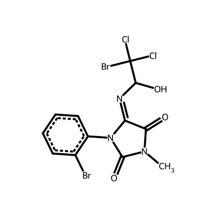 CN1C(=O)/C(=N\C(O)C(Cl)(Cl)Br)N(c2ccccc2Br)C1=O